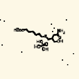 CCCCCCCCCCCCCCCCSCC(CO)CC(N)=O.O=P(O)(O)O